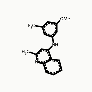 COc1cc(Nc2cc(C)nc3ccccc23)cc(C(F)(F)F)c1